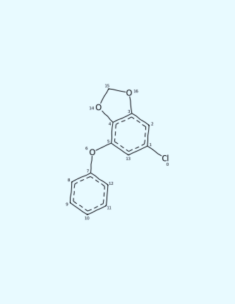 Clc1cc2c(c(Oc3ccccc3)c1)OCO2